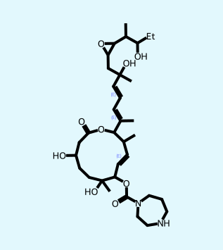 CCC(O)C(C)C1OC1CC(C)(O)/C=C/C=C(\C)C1OC(=O)CC(O)CCC(C)(O)C(OC(=O)N2CCCNCC2)/C=C/C1C